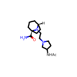 CC(=O)NC1CCN(CCN2[C@@H]3C[CH]C[C@@]2(C(N)=O)CC3)C1